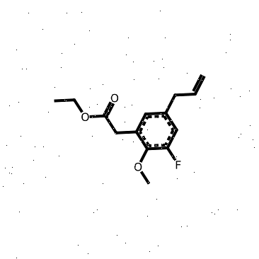 C=CCc1cc(F)c(OC)c(CC(=O)OCC)c1